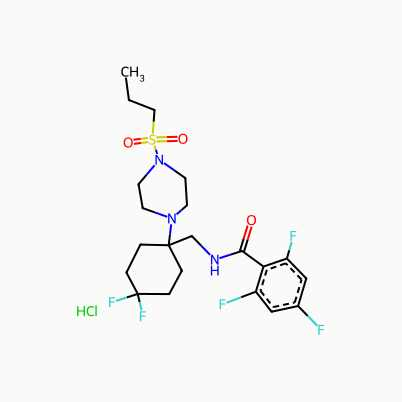 CCCS(=O)(=O)N1CCN(C2(CNC(=O)c3c(F)cc(F)cc3F)CCC(F)(F)CC2)CC1.Cl